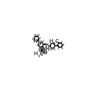 Cc1ccccc1C1CCC(OCC2CN(c3ccccn3)CC[C@@H]2NS(C)(=O)=O)CC1